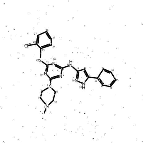 CN1CCN(c2nc(Nc3cc(-c4ccccc4)[nH]n3)nc(Sc3ccccc3Cl)n2)CC1